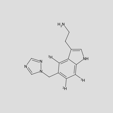 [2H]c1c(Cn2cncn2)c([2H])c2c(CCN)c[nH]c2c1[2H]